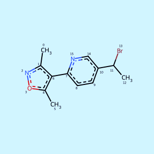 Cc1noc(C)c1-c1ccc(C(C)Br)cn1